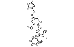 CO[C@@H]1CN(CCc2cccs2)CC[C@H]1CON(C(C)=O)c1ccccc1F